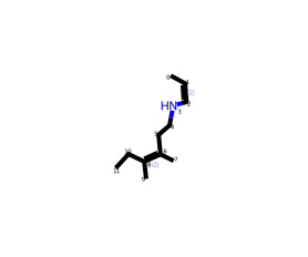 C/C=C\NCC/C(C)=C(/C)CC